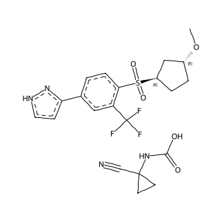 CO[C@@H]1CC[C@@H](S(=O)(=O)c2ccc(-c3cc[nH]n3)cc2C(F)(F)F)C1.N#CC1(NC(=O)O)CC1